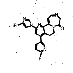 CC(C)c1cn(-c2cc(-c3ccc(F)nc3)c3c(n2)C2=CC=NCC(=O)N2CC3)cn1